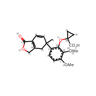 COc1ccc(C2(C)C=CC3=C(COC3=O)C2)c(OC2(C(=O)O)CC2)c1OC